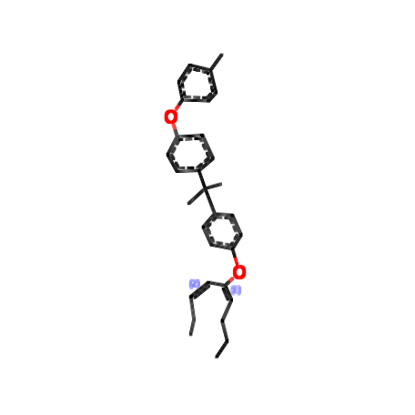 CC/C=C\C(=C/CCC)Oc1ccc(C(C)(C)c2ccc(Oc3ccc(C)cc3)cc2)cc1